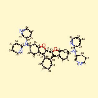 C1=NC=C(N(c2ccc3c(c2)oc2c4oc5cc(N(c6cccnc6)c6ccccn6)ccc5c4c4ccccc4c32)c2ccccn2)CC1